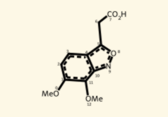 COc1ccc2c(CC(=O)O)onc2c1OC